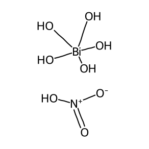 O=[N+]([O-])O.[OH][Bi]([OH])([OH])([OH])[OH]